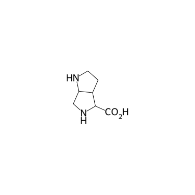 O=C(O)C1NCC2NCCC21